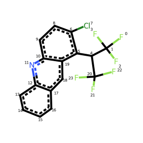 FC(F)(F)C(c1c(Cl)ccc2nc3ccccc3cc12)C(F)(F)F